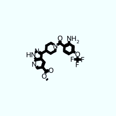 COC(=O)c1cnc2[nH]nc(C3CCN(C(=O)c4ccc(OC(F)(F)F)cc4N)CC3)c2c1